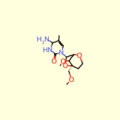 COC[C@@]12CCOC(C1OC)[C@H](N1C=C(C)C(N)NC1=O)O2